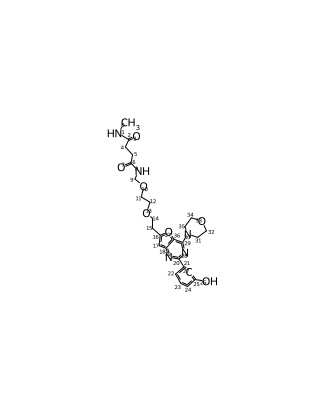 CNC(=O)CCC(=O)NCOCCOCCc1cc2nc(-c3cccc(O)c3)nc(N3CCOCC3)c2o1